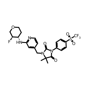 CC1(C)C(=O)N(c2ccc(S(=O)(=O)C(F)(F)F)cc2)C(=O)N1Cc1ccnc(N[C@H]2CCOC[C@@H]2F)c1